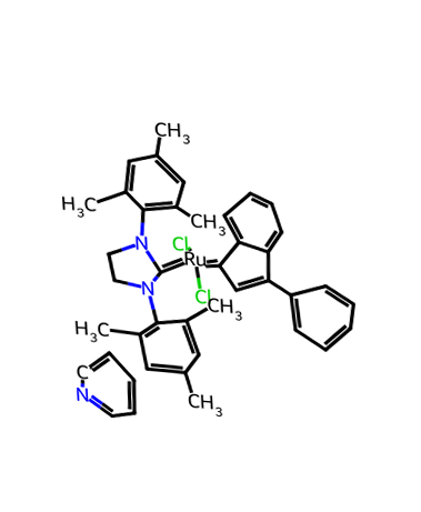 Cc1cc(C)c(N2CCN(c3c(C)cc(C)cc3C)[C]2=[Ru]([Cl])([Cl])=[C]2C=C(c3ccccc3)c3ccccc32)c(C)c1.[c-]1ccccn1